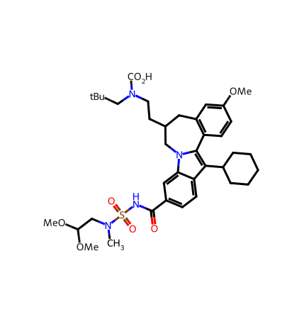 COc1ccc2c(c1)CC(CCN(CC(C)(C)C)C(=O)O)Cn1c-2c(C2CCCCC2)c2ccc(C(=O)NS(=O)(=O)N(C)CC(OC)OC)cc21